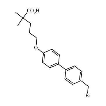 CC(C)(CCCOc1ccc(-c2ccc(CBr)cc2)cc1)C(=O)O